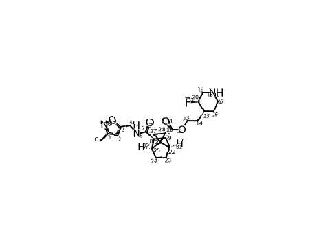 Cc1cc(CNC(=O)[C@H]2[C@H](C(=O)OCC[C@@H]3CCNC[C@@H]3F)[C@H]3CC[C@@H]2C32CC2)on1